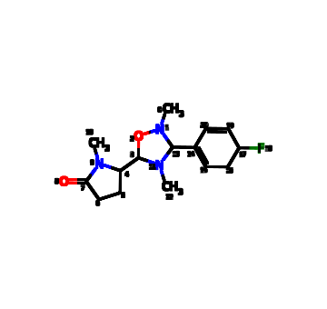 CN1OC(C2CCC(=O)N2C)N(C)C1C1=CCC(F)C=C1